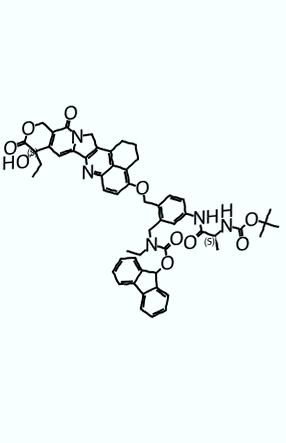 CCN(Cc1cc(NC(=O)[C@H](C)NC(=O)OC(C)(C)C)ccc1COc1ccc2nc3c(c4c2c1CCC4)Cn1c-3cc2c(c1=O)COC(=O)[C@]2(O)CC)C(=O)OC1c2ccccc2-c2ccccc21